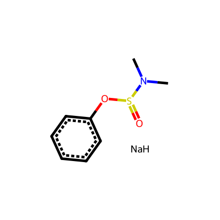 CN(C)S(=O)Oc1ccccc1.[NaH]